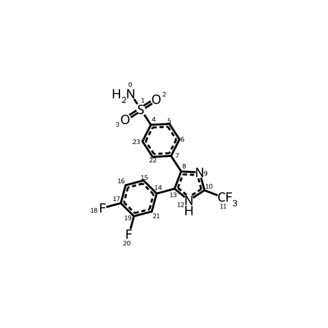 NS(=O)(=O)c1ccc(-c2nc(C(F)(F)F)[nH]c2-c2ccc(F)c(F)c2)cc1